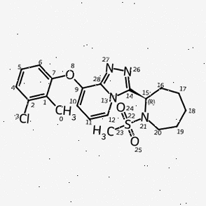 Cc1c(Cl)cccc1Oc1cccn2c([C@H]3CCCCCN3S(C)(=O)=O)nnc12